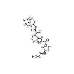 O=C(NCC12CC3CC4CC(C1)C4(C3)C2)c1cccc2nc(C(=O)N3CC[C@@H](NCCO)C3)cn12